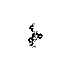 COc1ccccc1C(=O)n1nc(-c2cccn(CC(=O)O)c2=O)cc1NCc1ccc(Cl)s1